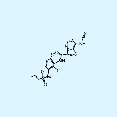 CCCS(=O)(=O)Nc1ccc(Cl)c(NC(=O)c2csc3c(NC#N)ncnc23)c1Cl